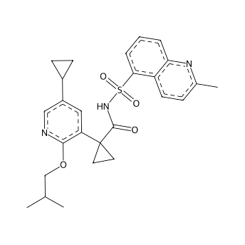 Cc1ccc2c(S(=O)(=O)NC(=O)C3(c4cc(C5CC5)cnc4OCC(C)C)CC3)cccc2n1